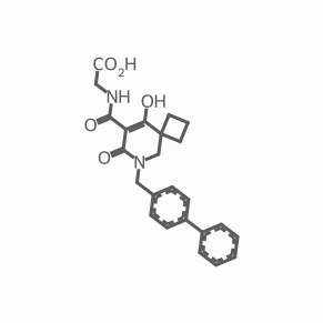 O=C(O)CNC(=O)C1=C(O)C2(CCC2)CN(Cc2ccc(-c3ccccc3)cc2)C1=O